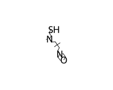 CN(CCS)CCC(C)(C)CCN1CCOCC1